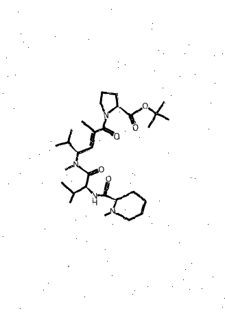 C/C(=C\[C@H](C(C)C)N(C)C(=O)[C@@H](NC(=O)[C@H]1CCCCN1C)C(C)C)C(=O)N1CCC[C@H]1C(=O)OC(C)(C)C